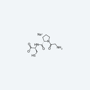 NCC(=O)N1CCC[C@H]1C(=O)N[C@@H](CS)C(=O)[O-].[Na+]